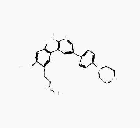 Cc1cc(F)c(-c2cc(-c3ccc(N4CCOCC4)cc3)cnc2N)cc1CCNC=O